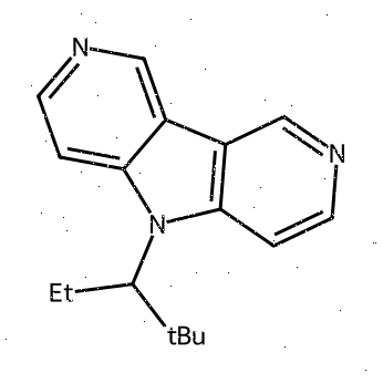 CCC(n1c2ccncc2c2cnccc21)C(C)(C)C